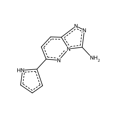 Nc1nnc2ccc(-c3ccc[nH]3)nn12